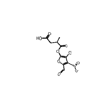 CC(CC(=O)O)C(=O)Oc1oc(C=O)c([N+](=O)[O-])c1Cl